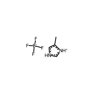 Cc1c[nH]c[nH+]1.F[B-](F)(F)F